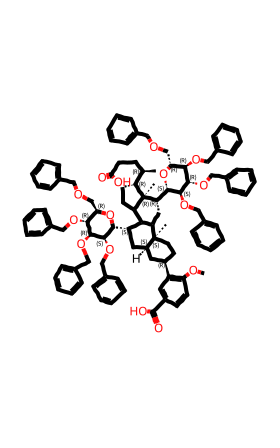 COc1ccc(C(=O)O)cc1[C@@H]1CC[C@]2(C)C3C[C@@H]([C@@H]4O[C@H](COCc5ccccc5)[C@@H](OCc5ccccc5)[C@H](OCc5ccccc5)[C@H]4OCc4ccccc4)[C@@]4(C)C(CC[C@@H]4[C@H](C)CCC(=O)O)C3[C@@H](C3O[C@H](COCc4ccccc4)[C@@H](OCc4ccccc4)[C@H](OCc4ccccc4)[C@H]3OCc3ccccc3)C[C@@H]2C1